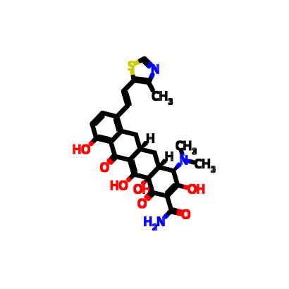 Cc1ncsc1/C=C/c1ccc(O)c2c1C[C@@H]1C[C@@H]3[C@@H](N(C)C)C(O)=C(C(N)=O)C(=O)[C@]3(O)C(O)=C1C2=O